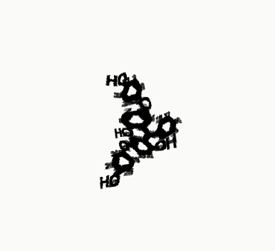 Oc1ccc(Oc2ccc(O)c(C(c3ccccc3)c3cc(Oc4ccc(O)cc4)ccc3O)c2)cc1